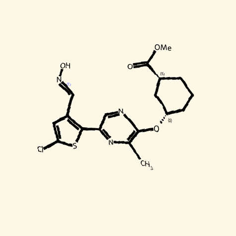 COC(=O)[C@H]1CCC[C@H](Oc2ncc(-c3sc(Cl)cc3/C=N/O)nc2C)C1